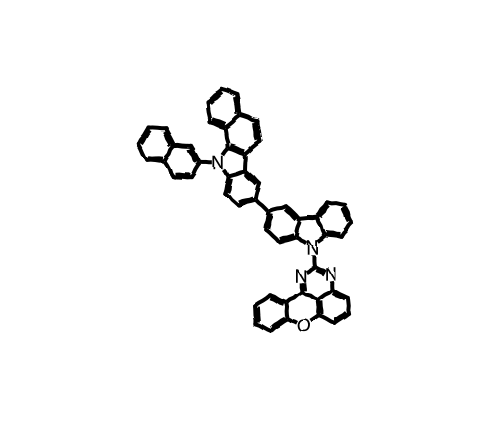 c1ccc2c(c1)Oc1cccc3nc(-n4c5ccccc5c5cc(-c6ccc7c(c6)c6ccc8ccccc8c6n7-c6ccc7ccccc7c6)ccc54)nc-2c13